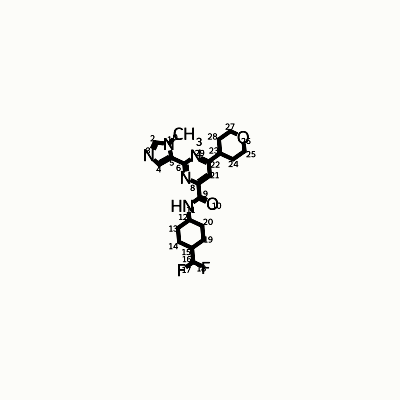 Cn1cncc1-c1nc(C(=O)NC2CCC(C(F)F)CC2)cc(C2CCOCC2)n1